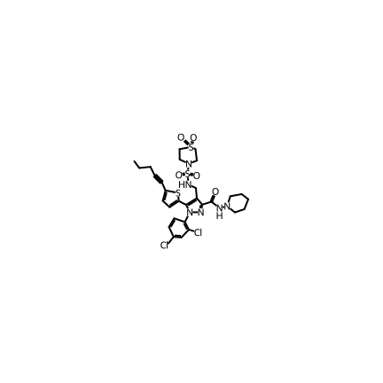 CCCC#Cc1ccc(-c2c(CNS(=O)(=O)N3CCS(=O)(=O)CC3)c(C(=O)NN3CCCCC3)nn2-c2ccc(Cl)cc2Cl)s1